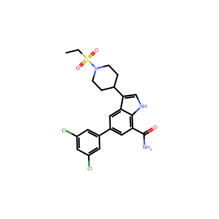 CCS(=O)(=O)N1CCC(c2c[nH]c3c(C(N)=O)cc(-c4cc(Cl)cc(Cl)c4)cc23)CC1